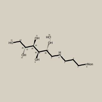 CCCCCCCCCCCCNC[C@@H](O)[C@@H](O)[C@H](O)[C@H](O)CO.Cl